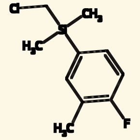 Cc1cc([Si](C)(C)CCl)ccc1F